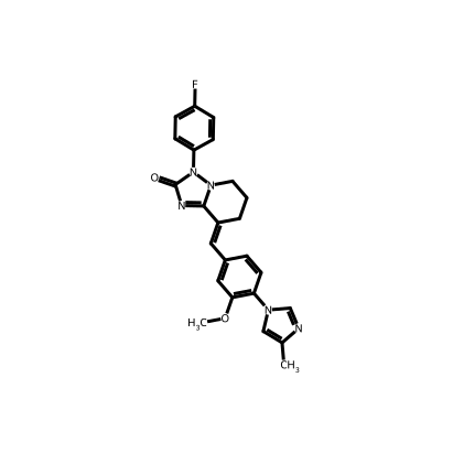 COc1cc(/C=C2\CCCn3c2nc(=O)n3-c2ccc(F)cc2)ccc1-n1cnc(C)c1